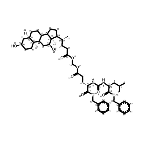 CC(C)C[C@H](NC(=O)N[C@@H](CCC(=O)OCOC(=O)CC[C@@H](C)C1CCC2C3CC[C@@H]4C[C@H](O)CC[C@]4(C)C3C[C@H](O)[C@@]21C)C(=O)OCc1ccccc1)C(=O)OCc1ccccc1